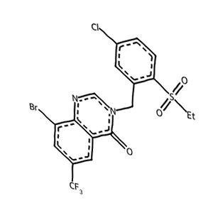 CCS(=O)(=O)c1ccc(Cl)cc1Cn1cnc2c(Br)cc(C(F)(F)F)cc2c1=O